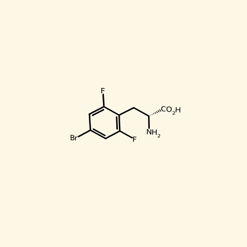 N[C@H](Cc1c(F)cc(Br)cc1F)C(=O)O